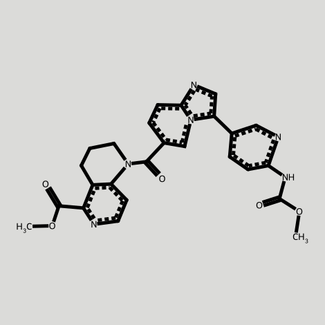 COC(=O)Nc1ccc(-c2cnc3ccc(C(=O)N4CCCc5c4ccnc5C(=O)OC)cn23)cn1